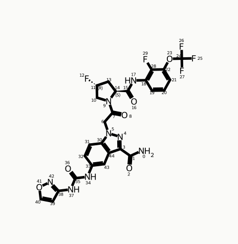 NC(=O)c1nn(CC(=O)N2C[C@H](F)C[C@H]2C(=O)Nc2cccc(OC(F)(F)F)c2F)c2ccc(NC(=O)Nc3ccon3)cc12